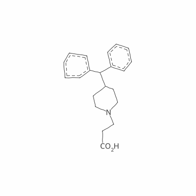 O=C(O)CCN1CCC(C(c2ccccc2)c2ccccc2)CC1